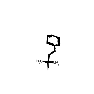 CC(C)(F)CCc1ccccc1